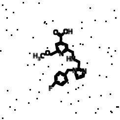 COCc1cc(C(=O)O)cc(CNCc2nccn2Cc2ccc(F)cc2)n1